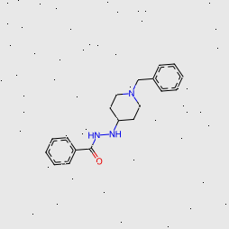 O=C(NNC1CCN(Cc2ccccc2)CC1)c1ccccc1